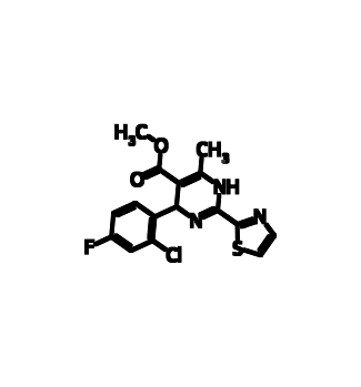 COC(=O)C1=C(C)NC(c2nccs2)=NC1c1ccc(F)cc1Cl